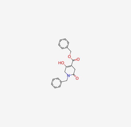 O=C(OCc1ccccc1)C1=C(O)CN(Cc2ccccc2)C(=O)C1